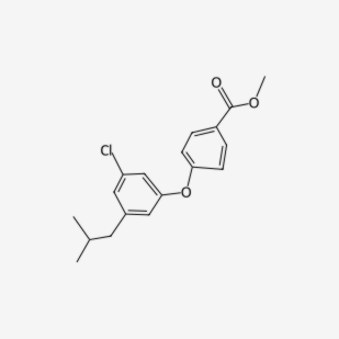 COC(=O)c1ccc(Oc2cc(Cl)cc(CC(C)C)c2)cc1